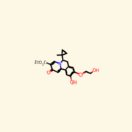 CCOC(=O)c1cn2c(cc1=O)-c1cc(O)c(OCCO)cc1CC2C1(C)CC1